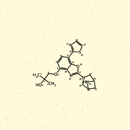 CC(C)(O)COc1ccc(-c2nccs2)c2oc(N3CC4CC(C3)N4)nc12